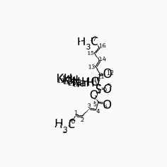 C/C=C/C=C/C(=O)OS(=O)OC(=O)/C=C/C=C/C.[KH].[KH].[NaH].[NaH]